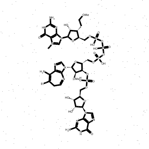 CCC1=C(N)c2ncn([C@@H]3O[C@H](COP(=O)(O)OP(=O)(O)OP(=O)(O)OC[C@H]4OC(n5c[n+](C)c6c(=O)[nH]c(N)nc65)[C@H](O)[C@@H]4CCOC)[C@@H](OP(=O)(O)OC[C@H]4O[C@@H](n5cnc6c(=O)[nH]c(N)nc65)[C@H](O)[C@@H]4O)[C@H]3OC)c2N=CC1